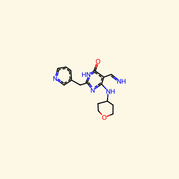 N=Cc1c(NC2CCOCC2)nc(Cc2cccnc2)[nH]c1=O